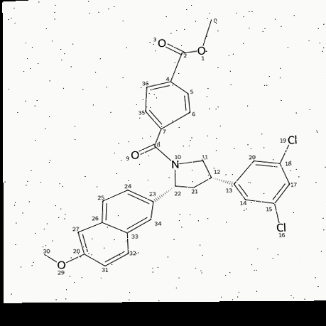 COC(=O)c1ccc(C(=O)N2C[C@H](c3cc(Cl)cc(Cl)c3)C[C@@H]2c2ccc3cc(OC)ccc3c2)cc1